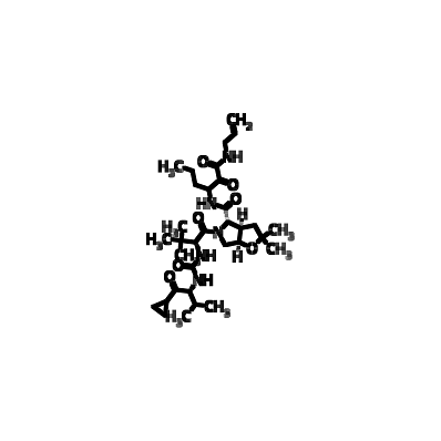 C=CCNC(=O)C(=O)C(CCC)NC(=O)[C@@H]1[C@H]2CC(C)(C)O[C@H]2CN1C(=O)[C@@H](NC(=O)N[C@H](C(=O)C1CC1)C(C)C)C(C)(C)C